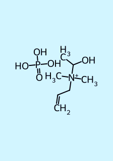 C=CC[N+](C)(C)C(C)O.O=P(O)(O)O